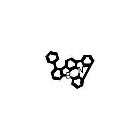 c1ccc(-c2cccc3c2-c2ccc4c5cccc6c7cccc8c7n(c4c2B38)c65)cc1